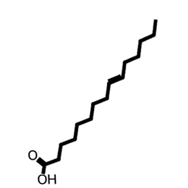 CCCCCC=CCCCCCCCC(=O)O